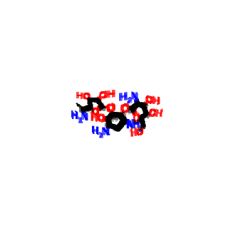 C[C@@H](N)[C@H]1O[C@@H](O[C@@H]2C(O)[C@H](N)CC(N)[C@H]2O[C@H]2OC(CO)[C@@H](O)[C@H](O)C2N)C(O)[C@H]1O